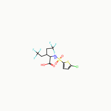 O=C(O)C(NS(=O)(=O)c1ccc(Cl)s1)C(CC(F)(F)F)CC(F)(F)F